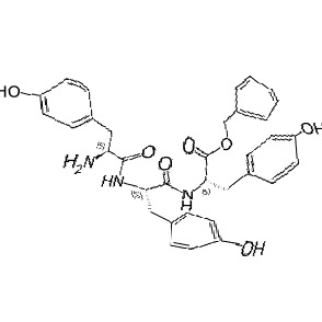 N[C@@H](Cc1ccc(O)cc1)C(=O)N[C@@H](Cc1ccc(O)cc1)C(=O)N[C@@H](Cc1ccc(O)cc1)C(=O)OCc1ccccc1